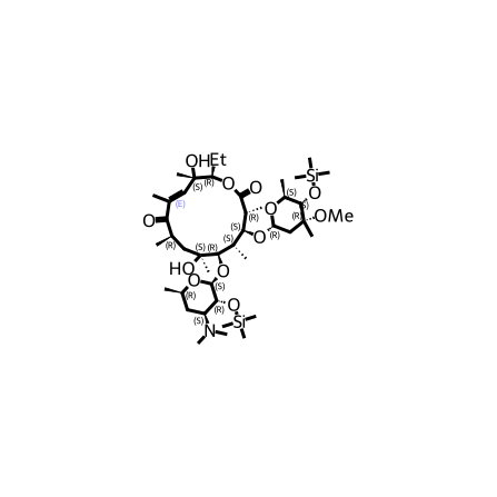 CC[C@H]1OC(=O)[C@H](C)[C@@H](O[C@H]2C[C@@](C)(OC)[C@@H](O[Si](C)(C)C)[C@H](C)O2)[C@H](C)[C@@H](O[C@@H]2O[C@H](C)C[C@H](N(C)C)[C@H]2O[Si](C)(C)C)[C@@](C)(O)C[C@@H](C)C(=O)/C(C)=C/[C@]1(C)O